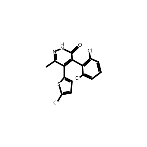 Cc1n[nH]c(=O)c(-c2c(Cl)cccc2Cl)c1-c1ccc(Cl)s1